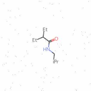 CCC(CC)C(=O)NCC(C)C